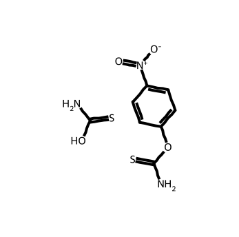 NC(=S)Oc1ccc([N+](=O)[O-])cc1.NC(O)=S